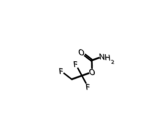 NC(=O)OC(F)(F)CF